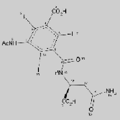 CC(=O)Nc1c(I)c(C(=O)O)c(I)c(C(=O)N[C@@H](CC(N)=O)C(=O)O)c1I